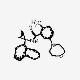 Cc1ccc(N2CCOCC2)cc1C(=O)NC1(c2cccc3ccccc23)CC1